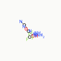 N#Cc1ccc(COc2ccc(C(F)(F)C(O)(CN(N)/N=C\N)c3ccc(F)cc3F)nc2)nc1